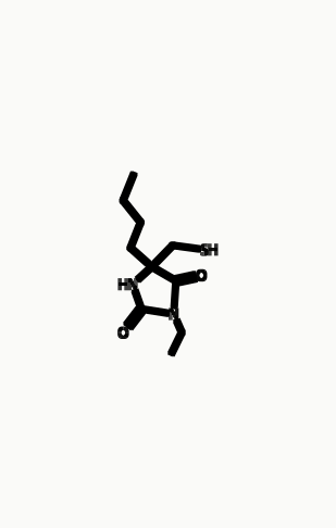 CCCCC1(CS)NC(=O)N(CC)C1=O